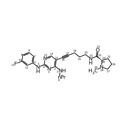 CCCNc1nc(Nc2cccc(F)c2)ncc1C#CCCCNC(=O)[C@H]1CCCN1C